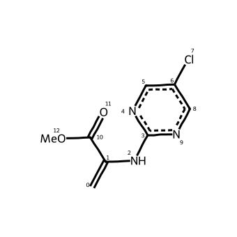 C=C(Nc1ncc(Cl)cn1)C(=O)OC